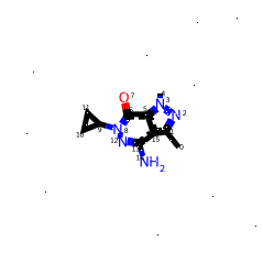 Cc1nn(C)c2c(=O)n(C3CC3)nc(N)c12